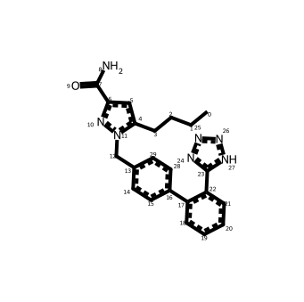 CCCCc1cc(C(N)=O)nn1Cc1ccc(-c2ccccc2-c2nnn[nH]2)cc1